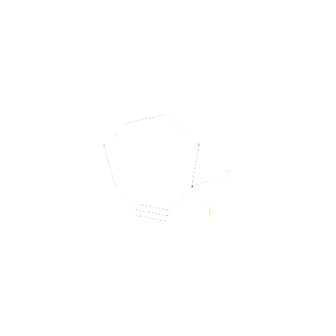 FC1(F)C#CCCCC[CH]1